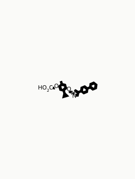 Cc1cc(OCn2cc(-c3ccc(-c4ccccc4)cc3)cn2)c(C2CC2)cc1OCC(=O)O